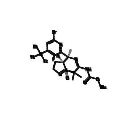 CC[Si](CC)(CC)c1cc(Br)nc([C@@]2(C)N=C(NC(=O)OC(C)(C)C)C(C)(C)[S@@]3(=O)=NCC[C@@H]23)c1F